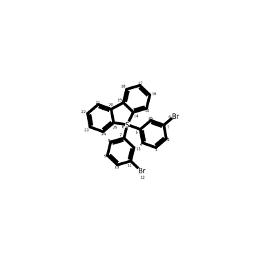 Brc1cccc(S2(c3cccc(Br)c3)c3ccccc3-c3ccccc32)c1